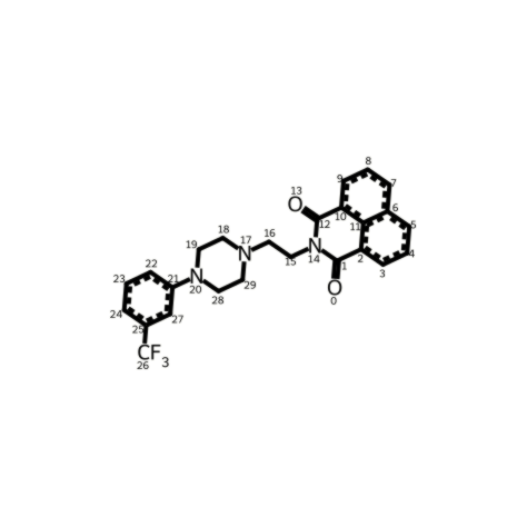 O=C1c2cccc3cccc(c23)C(=O)N1CCN1CCN(c2cccc(C(F)(F)F)c2)CC1